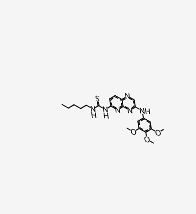 CCCCCNC(=S)Nc1ccc2ncc(Nc3cc(OC)c(OC)c(OC)c3)nc2n1